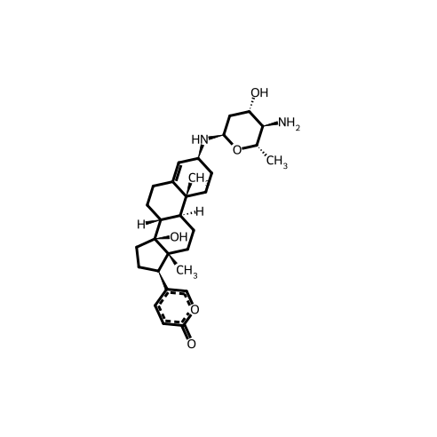 C[C@@H]1O[C@@H](N[C@@H]2C=C3CC[C@@H]4[C@H](CC[C@]5(C)[C@@H](c6ccc(=O)oc6)CC[C@]45O)[C@@]3(C)CC2)C[C@H](O)[C@H]1N